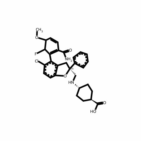 COC1C=CC(C(N)=O)=C(c2c(Cl)ccc3c2C[C@@](CN[C@H]2CC[C@H](C(=O)O)CC2)(c2ccccc2)O3)C1F